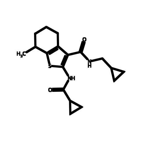 CC1CCCc2c1sc(NC(=O)C1CC1)c2C(=O)NCC1CC1